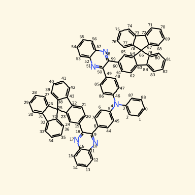 c1ccc(N(c2ccc(-c3nc4ccccc4nc3-c3ccc4c(c3)C3(c5ccccc5-c5ccccc53)c3ccccc3-4)cc2)c2ccc(-c3nc4ccccc4nc3-c3ccc4c(c3)C3(c5ccccc5-c5ccccc53)c3ccccc3-4)cc2)cc1